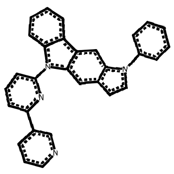 c1ccc(-n2ccc3cc4c(cc32)c2ccccc2n4-c2cccc(-c3cccnc3)n2)cc1